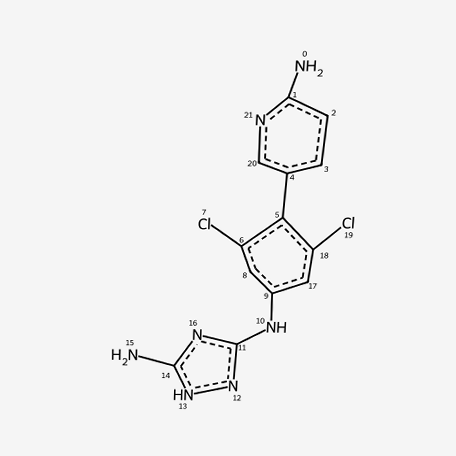 Nc1ccc(-c2c(Cl)cc(Nc3n[nH]c(N)n3)cc2Cl)cn1